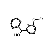 CCOc1cccc(C(O)c2ccccc2)n1